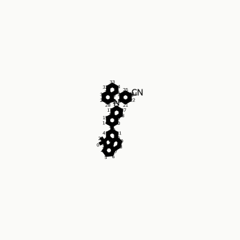 CC1(C)c2cccc3ccc4cc(-c5ccc6cc(N(c7ccc(C#N)cc7)c7cccc8ccccc78)ccc6c5)cc1c4c23